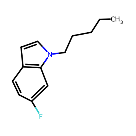 CCCCCn1ccc2ccc(F)cc21